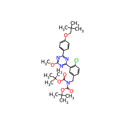 COc1nc(-c2ccc(OCC(C)(C)C)cc2)nc(-c2cc(CN(C(=O)OC(C)(C)C)C(=O)OC(C)(C)C)ccc2Cl)n1